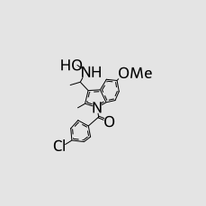 COc1ccc2c(c1)c(C(C)NO)c(C)n2C(=O)c1ccc(Cl)cc1